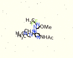 COc1cc(-n2nc(N3CCC(C)(N(C)C)C3)c3cnc(NC(C)=O)cc32)nc(C(C)(F)F)n1